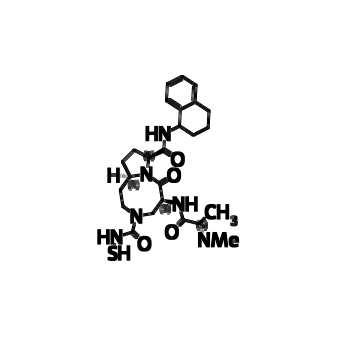 CN[C@@H](C)C(=O)N[C@H]1CN(C(=O)NS)CC[C@H]2CC[C@@H](C(=O)NC3CCCc4ccccc43)N2C1=O